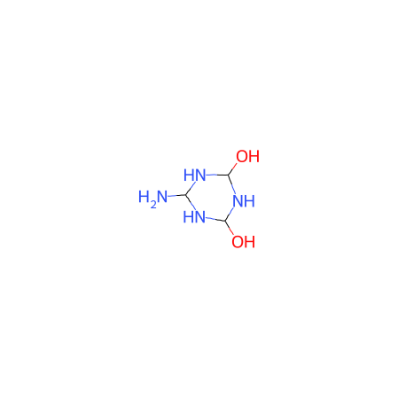 NC1NC(O)NC(O)N1